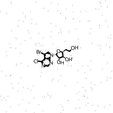 OCC[C@@H]1O[C@@H](n2cc(Br)c3c(Cl)ncnc32)[C@H](O)[C@@H]1O